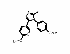 CCOc1ccc(-c2nnc(C)n2-c2ccc(OC)cc2)cn1